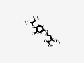 CCC(C)Oc1ccc(OCC=C(C)C(=O)O)cc1Cl